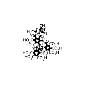 CCc1nc(C)cn1OC(=O)c1c(C(=O)OC(C)C#N)c(C(=O)O)c(C(=O)O)c(C(=O)OC(=O)c2c(C(=O)O)c(C(=O)O)c(C(=O)O)c(C(=O)O)c2C(=O)O)c1C(=O)OC(=O)c1c(C(=O)O)c(C(=O)O)c(C(=O)O)c(C(=O)O)c1C(=O)O